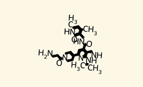 Cc1cc(C)c(CNC(=O)c2cc(C3=CCN(C(=O)CCN)CC3)nc(NC(C)C)c2C=N)c(=O)[nH]1